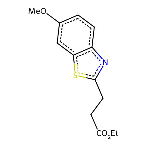 CCOC(=O)CCc1nc2ccc(OC)cc2s1